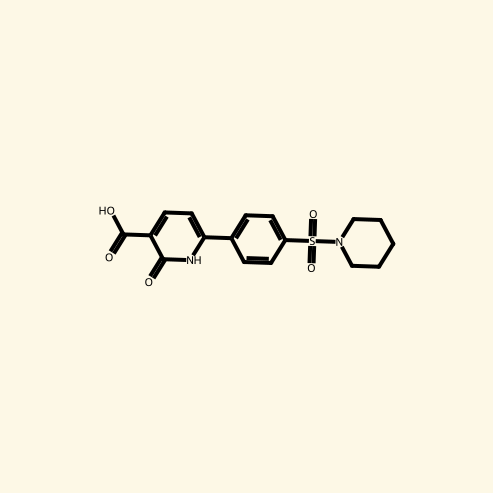 O=C(O)c1ccc(-c2ccc(S(=O)(=O)N3CCCCC3)cc2)[nH]c1=O